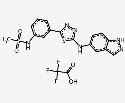 CS(=O)(=O)Nc1cccc(-c2nnc(Nc3ccc4[nH]ncc4c3)s2)c1.O=C(O)C(F)(F)F